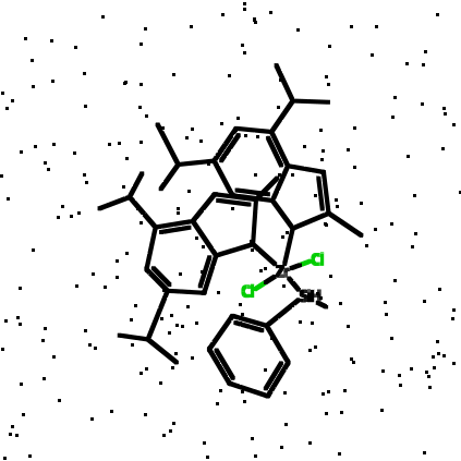 CC1=Cc2c(C(C)C)cc(C(C)C)cc2[CH]1[Zr]([Cl])([Cl])([CH]1C(C)=Cc2c(C(C)C)cc(C(C)C)cc21)[SiH](C)c1ccccc1